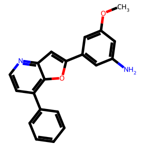 COc1cc(N)cc(-c2cc3nccc(-c4ccccc4)c3o2)c1